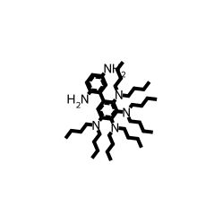 CCCCN(CCCC)c1cc(-c2cc(N)ccc2N)c(N(CCCC)CCCC)c(N(CCCC)CCCC)c1N(CCCC)CCCC